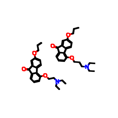 CCCOc1ccc2c(c1)C(=O)c1cccc(OCCCN(CC)CC)c1-2.CCCOc1ccc2c(c1)C(=O)c1cccc(OCCN(CC)CC)c1-2